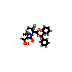 CC(O)C1C(=O)N2C(C(=O)OC(c3ccccc3)c3ccccc3)=C(Cl)CS[C@@H]12